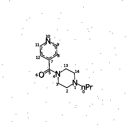 CCCN1CCN(C(=O)c2ccncc2)CC1